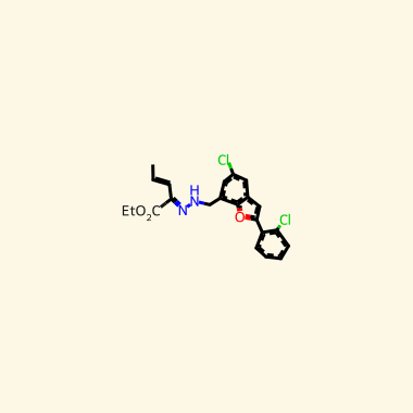 C/C=C/C(=N\NCc1cc(Cl)cc2cc(-c3ccccc3Cl)oc12)C(=O)OCC